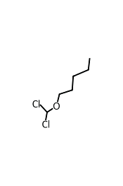 CCCCCOC(Cl)Cl